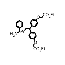 CCOC(=O)COc1ccc(C(CC(C)C)c2ccc(OCC(=O)OCC)cc2)cc1.NCc1ccccc1